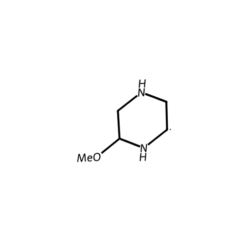 COC1CNC[CH]N1